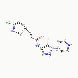 Cc1c(NC(=O)C=Cc2ccc(Cl)nc2)cnn1-c1ccncc1